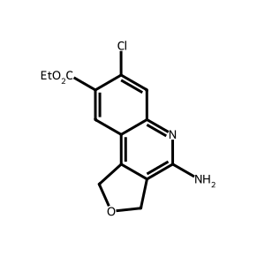 CCOC(=O)c1cc2c3c(c(N)nc2cc1Cl)COC3